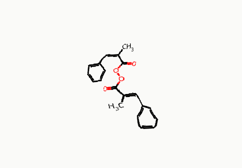 CC(=Cc1ccccc1)C(=O)OOC(=O)C(C)=Cc1ccccc1